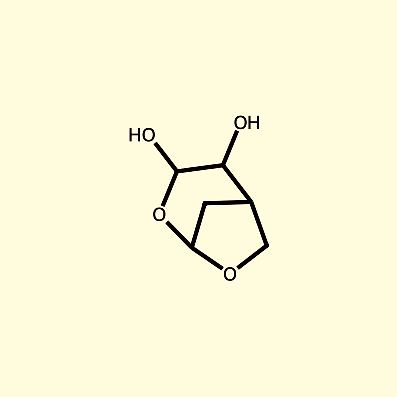 OC1OC2CC(CO2)C1O